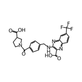 O=C(O)c1nc2ccc(C(F)(F)F)cc2nc1NCc1ccc(C(=O)N2CCC(C(=O)O)C2)cc1